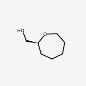 OC[C@@H]1CCCCCO1